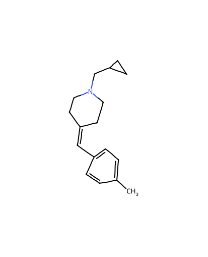 Cc1ccc(C=C2CCN(CC3CC3)CC2)cc1